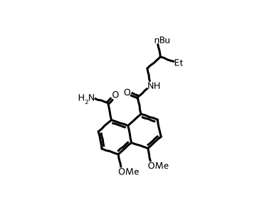 CCCCC(CC)CNC(=O)c1ccc(OC)c2c(OC)ccc(C(N)=O)c12